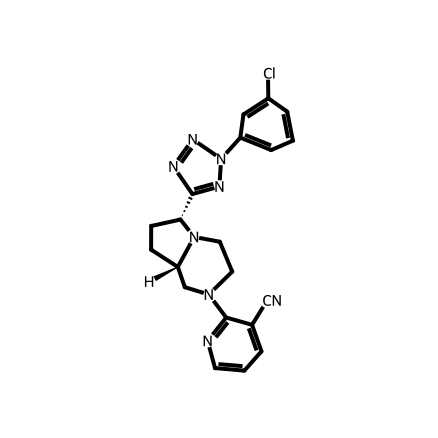 N#Cc1cccnc1N1CCN2[C@@H](CC[C@@H]2c2nnn(-c3cccc(Cl)c3)n2)C1